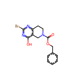 O=C(OCc1ccccc1)N1CCc2nc(Br)nc(O)c2C1